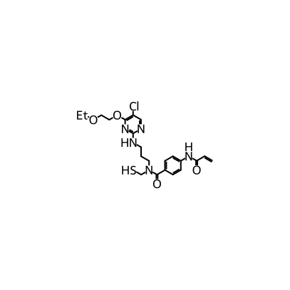 C=CC(=O)Nc1ccc(C(=O)N(CS)CCCNc2ncc(Cl)c(OCCOCC)n2)cc1